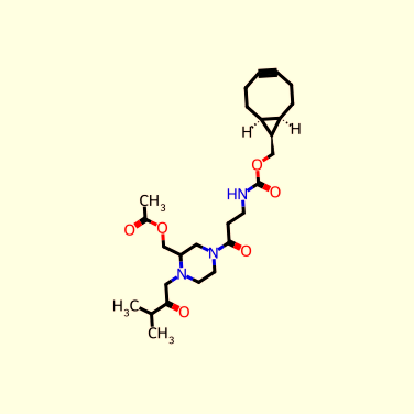 CC(=O)OCC1CN(C(=O)CCNC(=O)OC[C@@H]2[C@@H]3CCC#CCC[C@@H]32)CCN1CC(=O)C(C)C